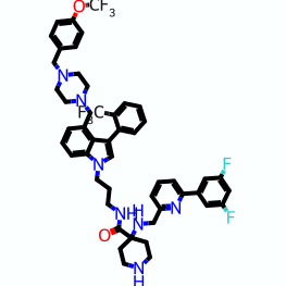 O=C(NCCCn1cc(-c2ccccc2C(F)(F)F)c2c(CN3CCN(Cc4ccc(OC(F)(F)F)cc4)CC3)cccc21)C1(NCc2cccc(-c3cc(F)cc(F)c3)n2)CCNCC1